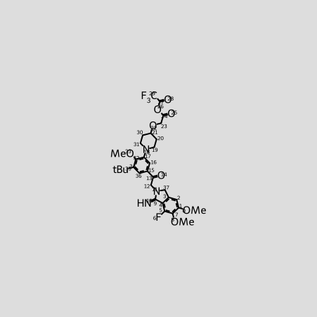 COc1cc2c(c(F)c1OC)C(=N)N(CC(=O)c1cc(N3CCC(OCC(=O)OC(=O)C(F)(F)F)CC3)c(OC)c(C(C)(C)C)c1)C2